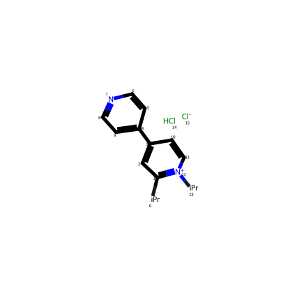 CC(C)c1cc(-c2ccncc2)cc[n+]1C(C)C.Cl.[Cl-]